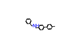 Cc1ccc(-c2ccc(CNCc3ccccc3)cc2)cc1